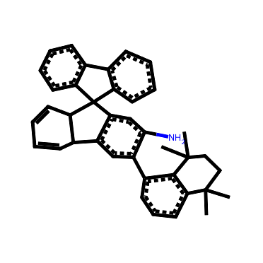 CC1(C)CCC(C)(C)c2c(-c3cc4c(cc3N)C3(c5ccccc5-c5ccccc53)C3C=CC=CC43)cccc21